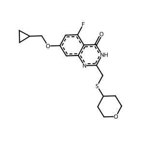 O=c1[nH]c(CSC2CCOCC2)nc2cc(OCC3CC3)cc(F)c12